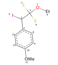 CCOC(F)(F)C(I)c1ccc(OC)cc1